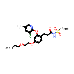 CCCCCS(=O)(=O)NC(=O)CCc1ccc(OCCOCCOC)cc1Oc1ncc(C(F)(F)F)cc1Cl